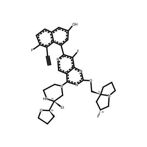 C#Cc1c(F)ccc2cc(O)cc(-c3ncc4c(N5CCN[C@@](CC)([C@H]6CCCO6)C5)nc(OC[C@@]56CCCN5C[C@H](F)C6)nc4c3F)c12